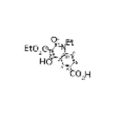 CCOC(=O)c1c(O)c2cc(C(=O)O)ccc2n(CC)c1=O